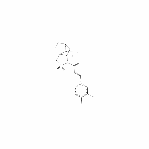 CC1(C)C2CC[C@]13CS(=O)(=O)N(C(=O)/C=C/c1ccc(F)c(F)c1)[C@@H]3C2